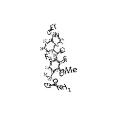 CCOc1nccc2c(C(=O)c3c(F)cc(C(C)OC(N)=O)c(OC)c3F)cccc12